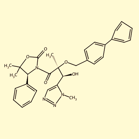 Cn1nncc1[C@H](O)[C@](C)(OCc1ccc(-c2ccccc2)cc1)C(=O)N1C(=O)OC(C)(C)[C@@H]1c1ccccc1